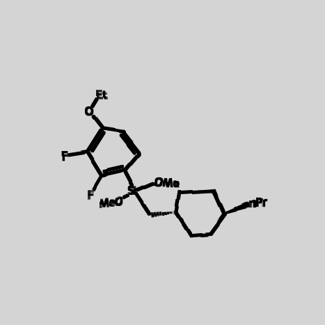 CCC[C@H]1CC[C@H](C[Si](OC)(OC)c2ccc(OCC)c(F)c2F)CC1